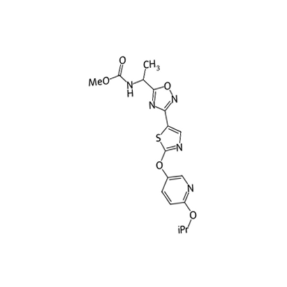 COC(=O)NC(C)c1nc(-c2cnc(Oc3ccc(OC(C)C)nc3)s2)no1